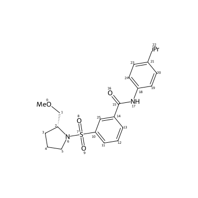 COC[C@H]1CCCN1S(=O)(=O)c1cccc(C(=O)Nc2ccc(C(C)C)cc2)c1